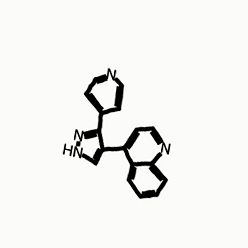 c1ccc2c(-c3c[nH]nc3-c3ccncc3)ccnc2c1